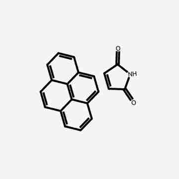 O=C1C=CC(=O)N1.c1cc2ccc3cccc4ccc(c1)c2c34